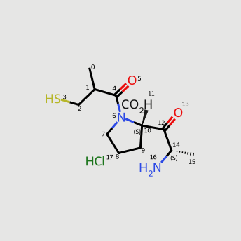 CC(CS)C(=O)N1CCC[C@@]1(C(=O)O)C(=O)[C@H](C)N.Cl